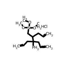 C=CCC(C[Si](OC)(OC)OC)C(P)(CC=C)CC=C.Cl